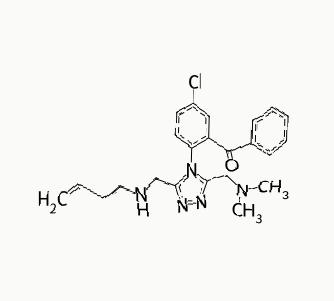 C=CCCNCc1nnc(CN(C)C)n1-c1ccc(Cl)cc1C(=O)c1ccccc1